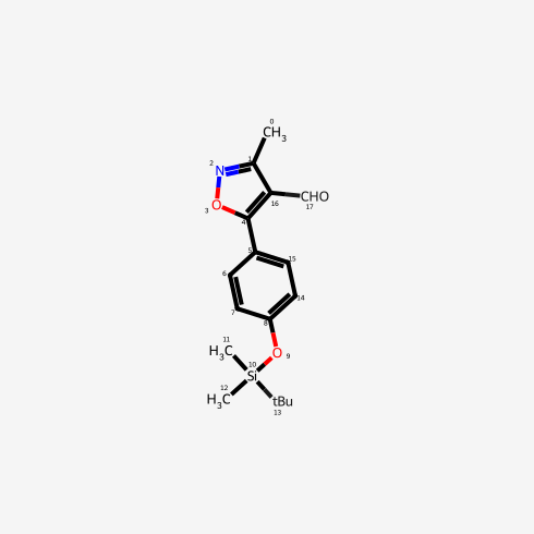 Cc1noc(-c2ccc(O[Si](C)(C)C(C)(C)C)cc2)c1C=O